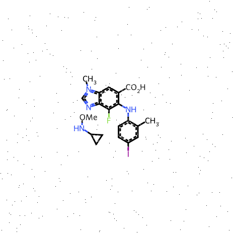 CONC1CC1.Cc1cc(I)ccc1Nc1c(C(=O)O)cc2c(ncn2C)c1F